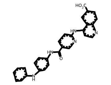 O=C(O)c1ccc2nccc(Nc3ccc(C(=O)Nc4ccc(Nc5ccccc5)cc4)cn3)c2c1